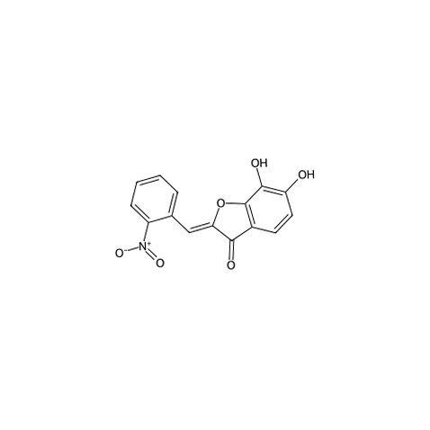 O=C1C(=Cc2ccccc2[N+](=O)[O-])Oc2c1ccc(O)c2O